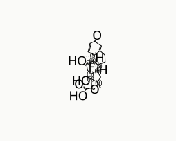 C[C@@H]1C[C@H]2[C@@H]3CCC4=CC(=O)C=C[C@]4(C)[C@@]3(F)[C@@H](O)C[C@]2(C)[C@@]1(O)C(=O)C(=O)O